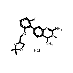 CN1C(N)=Nc2cc(-c3c(F)cccc3OCC3COC(C)(C)O3)ccc2C1N.Cl